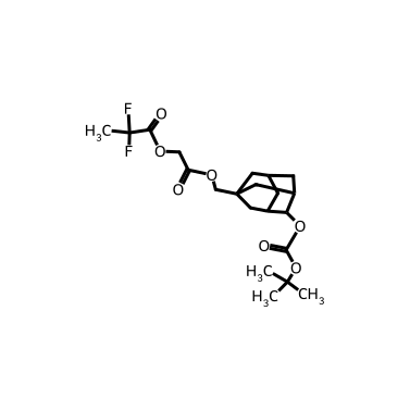 CC(C)(C)OC(=O)OC1C2CC3CC1CC(COC(=O)COC(=O)C(C)(F)F)(C3)C2